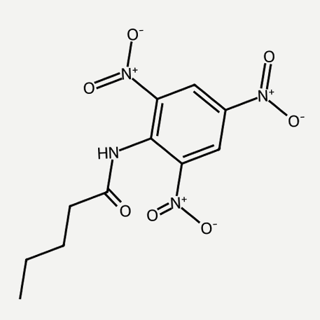 CCCCC(=O)Nc1c([N+](=O)[O-])cc([N+](=O)[O-])cc1[N+](=O)[O-]